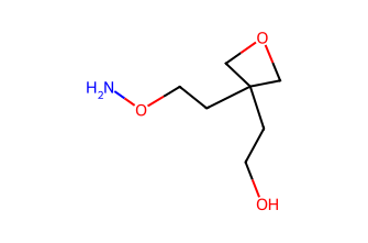 NOCCC1(CCO)COC1